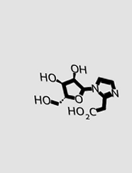 O=C(O)Cc1nccn1C1O[C@H](CO)[C@@H](O)[C@H]1O